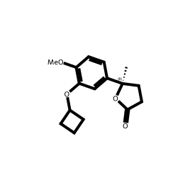 COc1ccc([C@@]2(C)CCC(=O)O2)cc1OC1CCC1